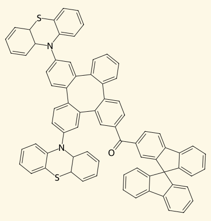 O=C(c1ccc2c(c1)-c1cc(N3c4ccccc4SC4C=CC=CC43)ccc1-c1ccc(N3c4ccccc4SC4C=CC=CC43)cc1-c1ccccc1-2)c1ccc2c(c1)C1(c3ccccc3-c3ccccc31)c1ccccc1-2